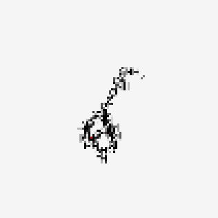 NC(=O)COCC(=O)NCCOCCOCCOCCNC(=O)[C@@H]1CSCC(=O)NCC(=O)N[C@H]2CSSC[C@H](NC(=O)CNC(=O)CNC(=O)CNC2=O)C(=O)NCC(=O)N1